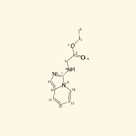 CCOC(=O)CNc1ncc2ccccn12